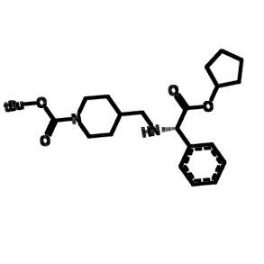 CC(C)(C)OC(=O)N1CCC(CN[C@H](C(=O)OC2CCCC2)c2ccccc2)CC1